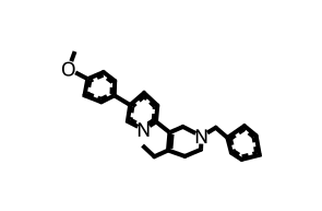 CCC1=C(c2ccc(-c3ccc(OC)cc3)cn2)CN(Cc2ccccc2)CC1